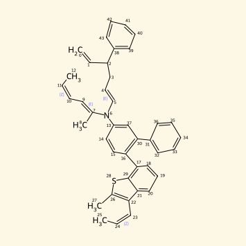 C=CC(C/C=C/N(/C(C)=C/C=C\C)c1ccc(-c2cccc3c(/C=C\C)c(C)sc23)c(-c2ccccc2)c1)c1ccccc1